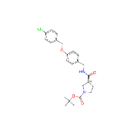 CC(C)(C)OC(=O)N1CC[C@H](C(=O)NCc2ccc(OCc3ccc(Cl)cc3)cc2)C1